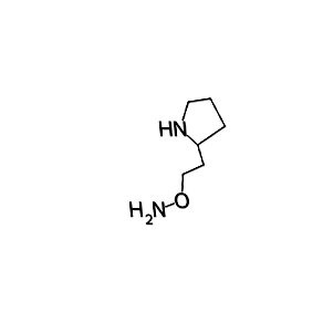 NOCCC1CCCN1